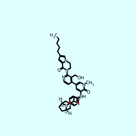 CCCCCc1cc2n(c1)CCN(c1nccc(-c3cc(Nc4ccc(N5[C@@H]6CC[C@H]5CN(C5COC5)C6)cn4)c(=O)n(C)c3)c1CO)C2=O